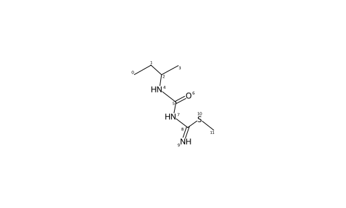 CCC(C)NC(=O)NC(=N)SC